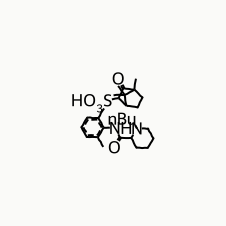 CC12CCC(C(S(=O)(=O)O)C1=O)C2(C)C.CCCCN1CCCCC1C(=O)Nc1c(C)cccc1C